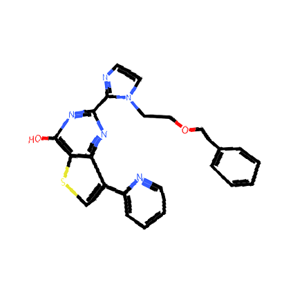 Oc1nc(-c2nccn2CCOCc2ccccc2)nc2c(-c3ccccn3)csc12